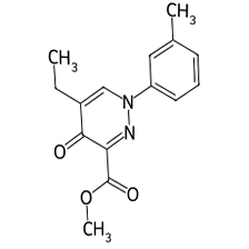 CCc1cn(-c2cccc(C)c2)nc(C(=O)OC)c1=O